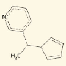 CC(c1cccnc1)C1C=CC=C1